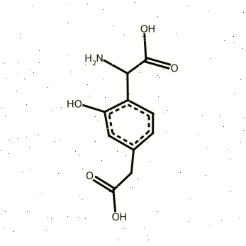 NC(C(=O)O)c1ccc(CC(=O)O)cc1O